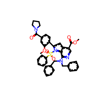 COC(=O)c1cnc(N(Cc2ccccc2)Cc2ccccc2)c2c1cc(-c1ccc(C(=O)N3CCCC3)cc1OC)n2S(=O)(=O)c1ccccc1